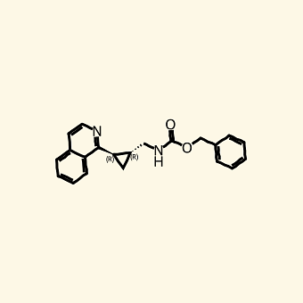 O=C(NC[C@@H]1C[C@H]1c1nccc2ccccc12)OCc1ccccc1